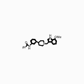 COc1cccc2c(CN3CCC(c4cccc(NC(=O)C(C)C)c4)CC3)c[nH]c12